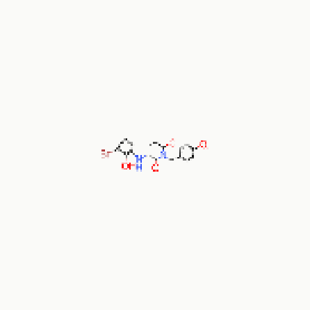 COc1ccc(CN2C(=O)CCC(Nc3cccc(Br)c3O)C2=O)cc1